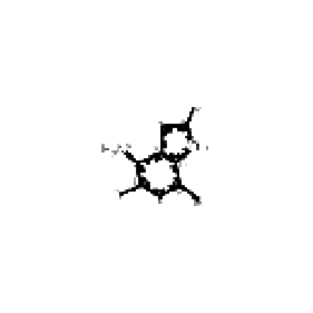 Cc1cc2c(N)c(C)cc(C)c2o1